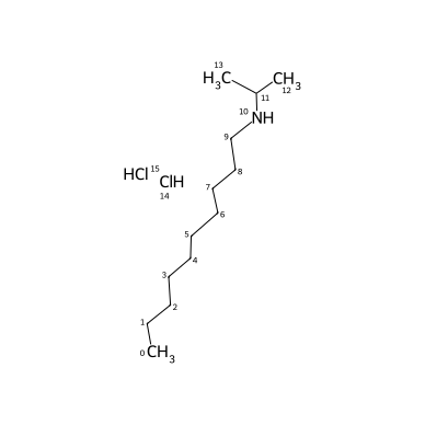 CCCCCCCCCCNC(C)C.Cl.Cl